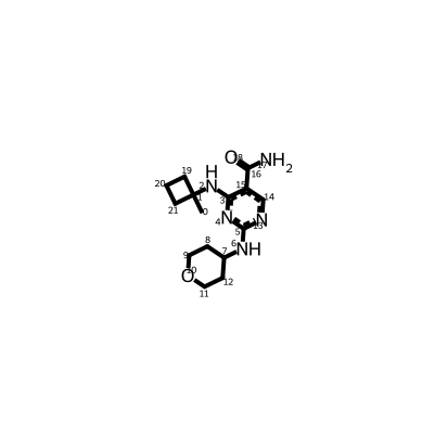 CC1(Nc2nc(NC3CCOCC3)ncc2C(N)=O)CCC1